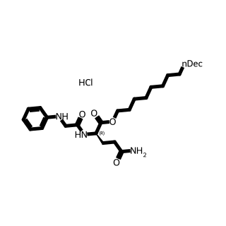 CCCCCCCCCCCCCCCCCCOC(=O)[C@@H](CCC(N)=O)NC(=O)CNc1ccccc1.Cl